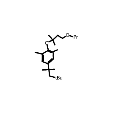 Cc1cc(C(C)(C)CC(C)(C)C)cc(C)c1OC(C)(C)CCOC(C)C